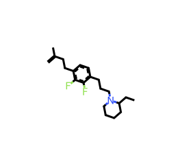 C=C(C)CCc1ccc(CCCN2CCCCC2CC)c(F)c1F